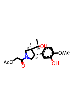 COc1ccc([C@@H]2CN(C(=O)COC(C)=O)C[C@@]2(C)[C@@H](C)O)cc1O